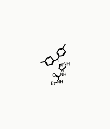 CCNC(=O)N[C@H]1CN[C@@H](C(c2ccc(C)cc2)c2ccc(C)cc2)C1